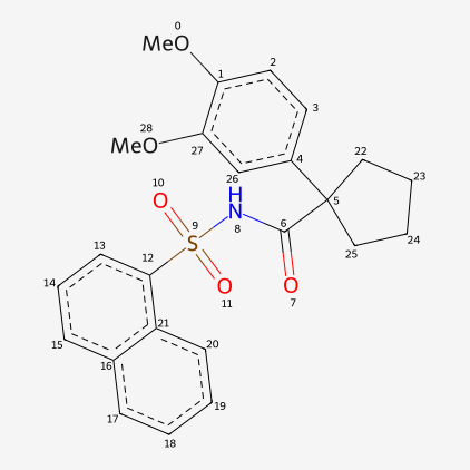 COc1ccc(C2(C(=O)NS(=O)(=O)c3cccc4ccccc34)CCCC2)cc1OC